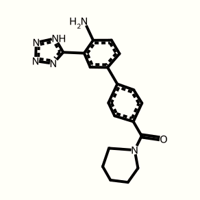 Nc1ccc(-c2ccc(C(=O)N3CCCCC3)cc2)cc1-c1nnn[nH]1